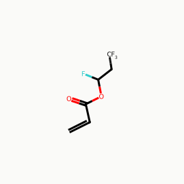 C=CC(=O)OC(F)CC(F)(F)F